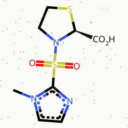 Cn1ccnc1S(=O)(=O)N1CCS[C@H]1C(=O)O